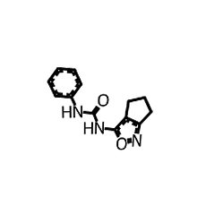 O=C(Nc1ccccc1)Nc1onc2c1CCC2